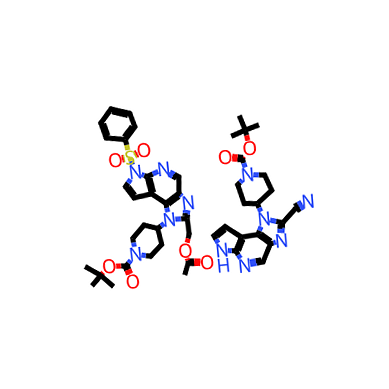 CC(=O)OCc1nc2cnc3c(ccn3S(=O)(=O)c3ccccc3)c2n1C1CCN(C(=O)OC(C)(C)C)CC1.CC(C)(C)OC(=O)N1CCC(n2c(C#N)nc3cnc4[nH]ccc4c32)CC1